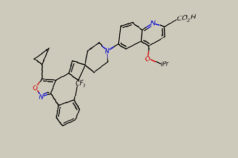 CC(C)Oc1cc(C(=O)O)nc2ccc(N3CCC4(C=C(c5c(-c6ccccc6C(F)(F)F)noc5C5CC5)C4)CC3)cc12